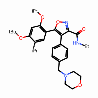 CCNC(=O)c1noc(-c2cc(C(C)C)c(OC(C)(C)C)cc2OC(C)C)c1-c1ccc(CN2CCOCC2)cc1